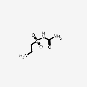 NCCS(=O)(=O)NC(N)=O